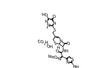 CO/N=C(\C(=O)N[C@@H]1C(=O)N2C=C(CSc3nc(=O)c(O)nn3C)CS[C@H]12)c1csc(N)n1.O=C(O)O